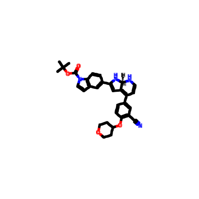 CC(C)(C)OC(=O)n1ccc2cc(C3=CC4=C(c5ccc(OC6CCOCC6)c(C#N)c5)C=CN[C@@H]4N3)ccc21